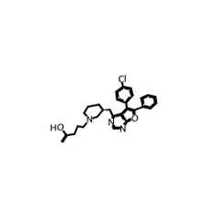 C=C(O)CCCN1CCC[C@@H](Cc2ncnc3oc(-c4ccccc4)c(-c4ccc(Cl)cc4)c23)C1